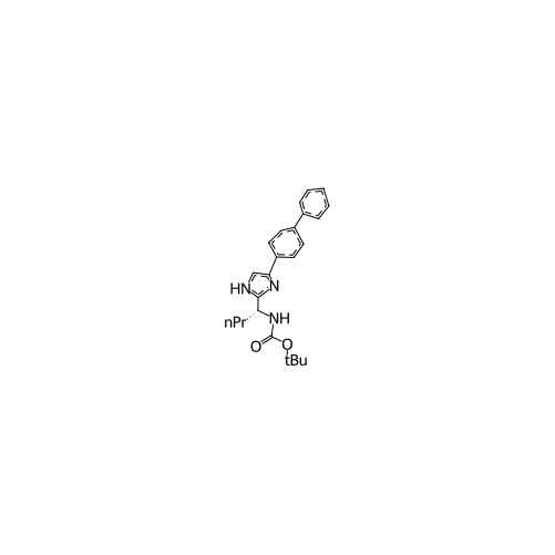 CCC[C@@H](NC(=O)OC(C)(C)C)c1nc(-c2ccc(-c3ccccc3)cc2)c[nH]1